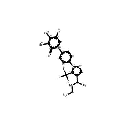 CCNC(O)c1cnn(-c2ccc(-n3cc(Br)c(Cl)c(Br)c3=O)cc2)c1C(F)(F)F